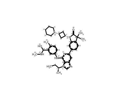 CC[C@H](C)n1cnc2cc(-c3ccc4c(c3)N([C@H]3C[C@@H](N5CCCCC5)C3)C(=O)C4(C)C)nc(Nc3ccc(C)c(C(O)NC)c3)c21